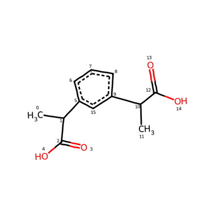 CC(C(=O)O)c1c[c]cc(C(C)C(=O)O)c1